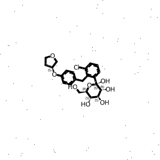 OC[C@H]1O[C@@](O)(c2cccc(Cl)c2Cc2ccc(O[C@H]3CCOC3)cc2)[C@H](O)[C@@H](O)[C@@H]1O